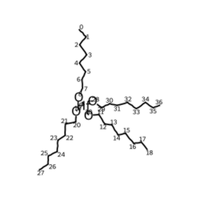 CCCCCCCC[O][Hf]([O]CCCCCCCC)([O]CCCCCCCC)[O]CCCCCCCC